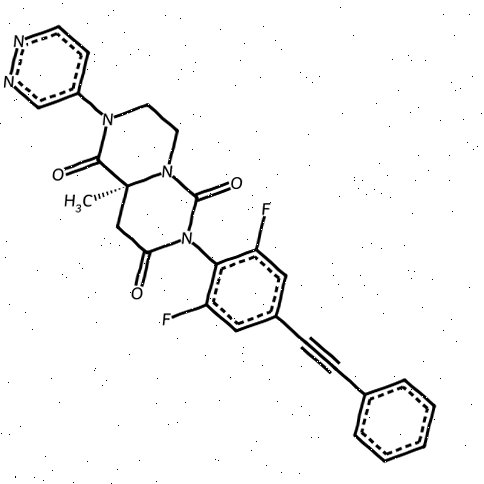 C[C@@]12CC(=O)N(c3c(F)cc(C#Cc4ccccc4)cc3F)C(=O)N1CCN(c1ccnnc1)C2=O